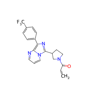 C=CC(=O)N1CCC(c2nc(-c3ccc(C(F)(F)F)cc3)c3ncccn23)C1